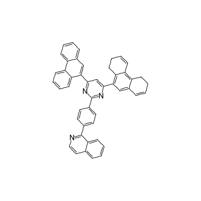 C1=Cc2cc(-c3cc(-c4cc5ccccc5c5ccccc45)nc(-c4ccc(-c5nccc6ccccc56)cc4)n3)c3c(c2CC1)C=CCC3